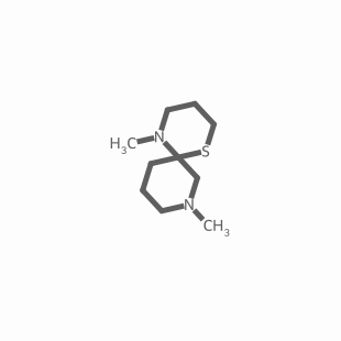 CN1CCCC2(C1)SCCCN2C